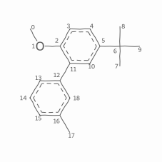 COc1ccc(C(C)(C)C)cc1-c1cccc(C)c1